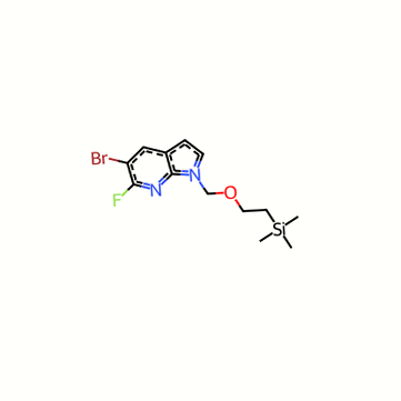 C[Si](C)(C)CCOCn1ccc2cc(Br)c(F)nc21